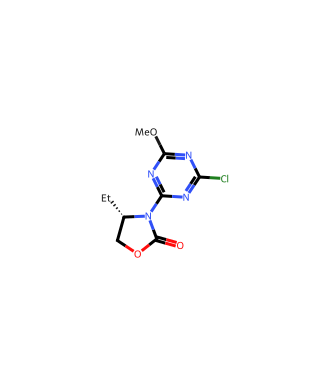 CC[C@H]1COC(=O)N1c1nc(Cl)nc(OC)n1